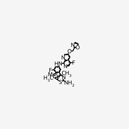 COC[C@@]12SC(N)=N[C@](C)(c3cc(Nc4ncc(F)c5cc(OCc6ncco6)cnc45)cc(F)c3F)C1[C@@H]2C